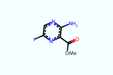 COC(=O)c1nc(I)cnc1N